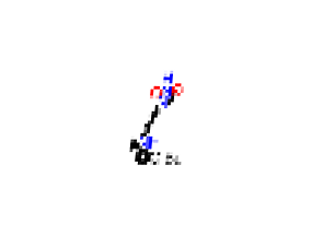 CC(C)COc1cccc(C2(NCCCC/C=C/CN3CCC(=O)NC3=O)CC2)c1